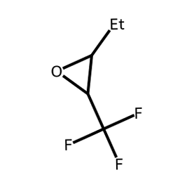 CCC1OC1C(F)(F)F